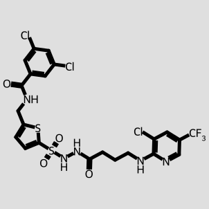 O=C(CCCNc1ncc(C(F)(F)F)cc1Cl)NNS(=O)(=O)c1ccc(CNC(=O)c2cc(Cl)cc(Cl)c2)s1